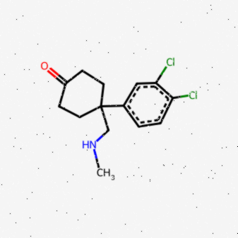 CNCC1(c2ccc(Cl)c(Cl)c2)CCC(=O)CC1